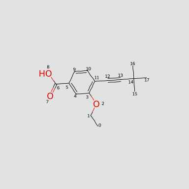 CCOc1cc(C(=O)O)ccc1C#CC(C)(C)C